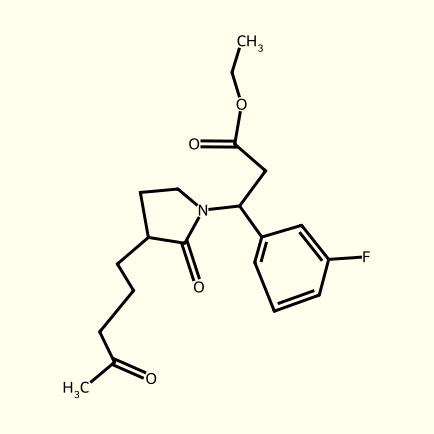 CCOC(=O)CC(c1cccc(F)c1)N1CCC(CCCC(C)=O)C1=O